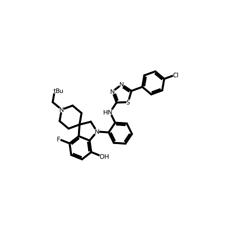 CC(C)(C)CN1CCC2(CC1)CN(c1ccccc1Nc1nnc(-c3ccc(Cl)cc3)s1)c1c(O)ccc(F)c12